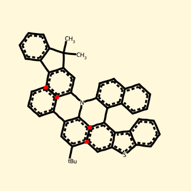 CC(C)(C)c1ccc(N(c2ccc3c(c2)C(C)(C)c2ccccc2-3)c2ccc3ccccc3c2-c2cccc3sc4ccccc4c23)c(-c2ccccc2)c1